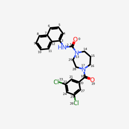 O=C(Nc1cccc2ccccc12)N1CCCN(C(=O)c2cc(Cl)cc(Cl)c2)CC1